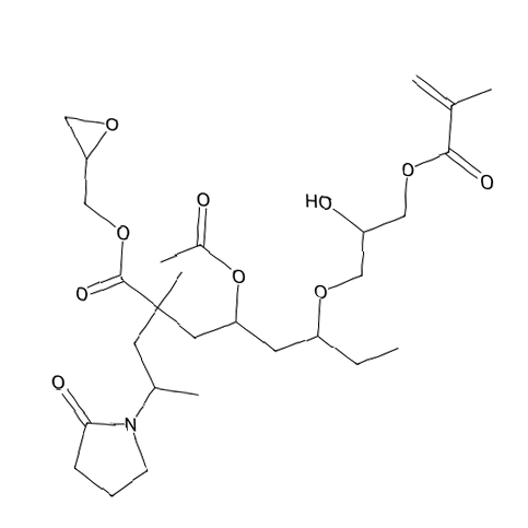 C=C(C)C(=O)OCC(O)COC(CC)CC(CC(C)(CC(C)N1CCCC1=O)C(=O)OCC1CO1)OC(C)=O